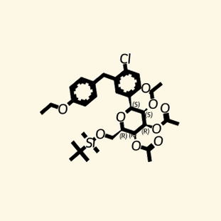 CCOc1ccc(Cc2cc([C@@H]3O[C@H](CO[Si](C)(C)C(C)(C)C)[C@@H](OC(C)=O)[C@H](OC(C)=O)[C@H]3OC(C)=O)ccc2Cl)cc1